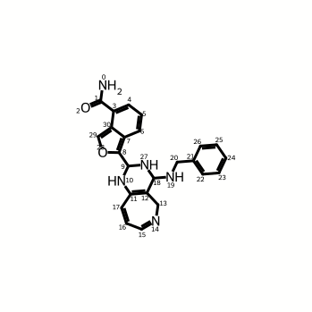 NC(=O)c1cccc2c(C3NC4=C(CN=CC=C4)C(NCc4ccccc4)N3)occ12